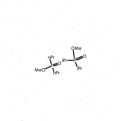 CCCP(=O)(CCC)OC.COP(=O)(C(C)C)C(C)C